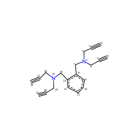 C#CCN(CC#C)Cc1ccccc1CN(CC#C)CC#C